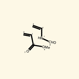 C=CC(=O)OC.C=CNC=O